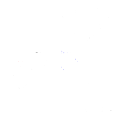 c1ccc(-c2cc(C3=NC(c4ccc5oc6ccccc6c5c4)NC(c4ccc(-c5ccc6ccccc6c5)cc4)=N3)cc3sc4ccccc4c23)cc1